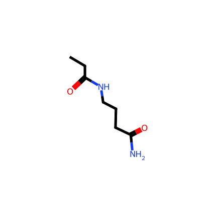 CCC(=O)NCCCC(N)=O